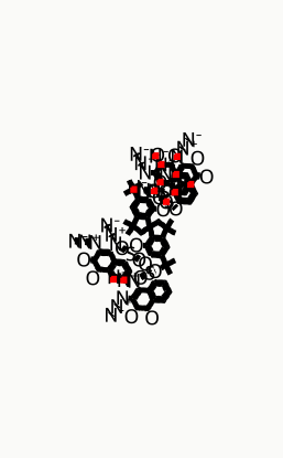 CC(C)(C)c1cc2c(c(OS(=O)(=O)c3cccc4c3C(N=[N+]=[N-])=C(N=[N+]=[N-])C(=O)C4=O)c1OS(=O)(=O)c1cccc3c1C(N=[N+]=[N-])=C(N=[N+]=[N-])C(=O)C3=O)C1(CC2(C)C)CC(C)(C)c2cc(C(C)(C)C)c(OS(=O)(=O)c3cccc4c3C(N=[N+]=[N-])=C(N=[N+]=[N-])C(=O)C4=O)c(OS(=O)(=O)c3cccc4c3C(N=[N+]=[N-])=C(N=[N+]=[N-])C(=O)C4=O)c21